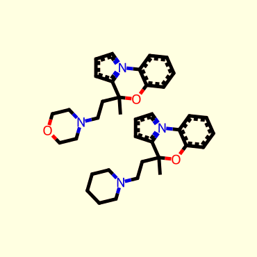 CC1(CCN2CCCCC2)Oc2ccccc2-n2cccc21.CC1(CCN2CCOCC2)Oc2ccccc2-n2cccc21